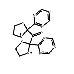 O=C(C1(c2ncncn2)NCCS1)C1(c2ncncn2)NCCS1